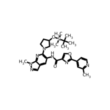 Cc1cc(-c2nc(C(=O)Nc3cc4cnn(C)c4nc3N3CCC(O[Si](C)(C)C(C)(C)C)C3)co2)ccn1